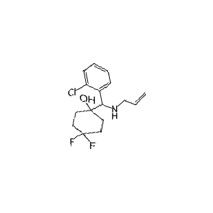 C=CCNC(c1ccccc1Cl)C1(O)CCC(F)(F)CC1